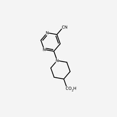 N#Cc1cc(N2CCC(C(=O)O)CC2)ncn1